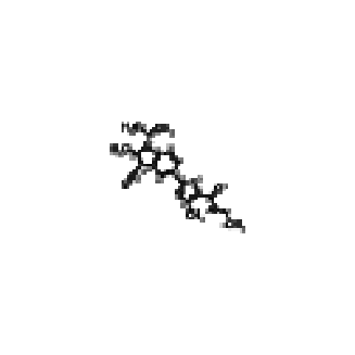 CCOC(=O)c1sc(-c2ccc3c(c2)c(C#N)c(C)n3C(C)C)nc1C